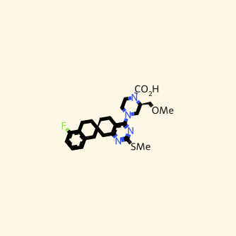 COC[C@H]1CN(c2nc(SC)nc3c2CC[C@@]2(CCc4c(F)cccc4C2)C3)CCN1C(=O)O